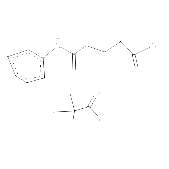 NC(=O)CCCC(=O)Nc1ccccc1.O=C(O)C(F)(F)F